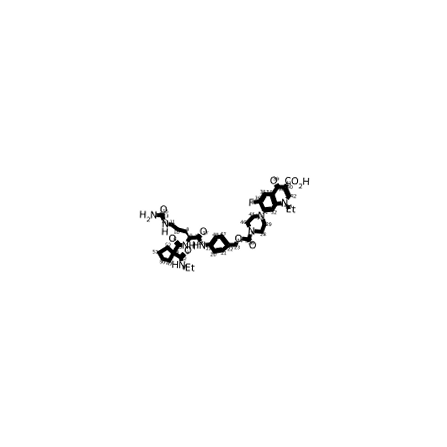 CCNC(=O)C1(C(=O)N[C@@H](CCCNC(N)=O)C(=O)Nc2ccc(COC(=O)N3CCN(c4cc5c(cc4F)c(=O)c(C(=O)O)cn5CC)CC3)cc2)CCCC1